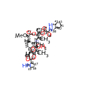 CO[C@H]1C[C@H]2C=CC3C4[C@H](O)[C@@H](C)[C@@H](OC(=O)c5ccc[nH]5)[C@@H]3O[C@]42/C(C)=C/[C@@H](C)[C@@H]([C@@H](C)OC(=O)C(=O)NCc2ccccc2)OC1=O